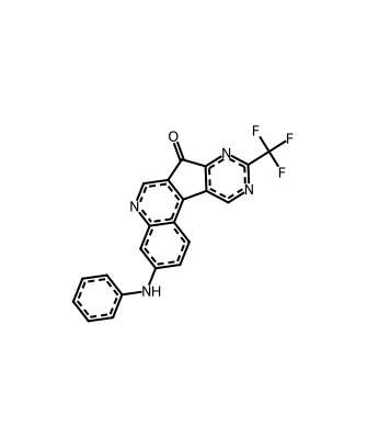 O=C1c2cnc3cc(Nc4ccccc4)ccc3c2-c2cnc(C(F)(F)F)nc21